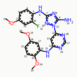 COc1ccc(Nc2nc(N)n(-c3cc(Nc4cc(OC)ccc4OC)ncn3)n2)c(F)c1